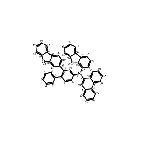 c1ccc(-c2ccc(N(c3cc4ccccc4c4ccccc34)c3cccc4c3sc3ccccc34)cc2-c2ccc3c(c2)oc2ccccc23)cc1